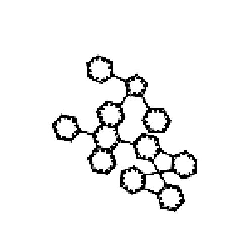 c1ccc(-c2c3ccccc3c(-c3ccc4c(c3)C3(c5ccccc5-c5ccccc53)c3ccccc3-4)c3cc(-n4c(-c5ccccc5)ccc4-c4ccccc4)ccc23)cc1